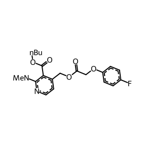 CCCCOC(=O)c1c(COC(=O)COc2ccc(F)cc2)ccnc1NC